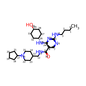 CCCCNc1ncc(C(=O)NCC2CCN(C3CCCC3)CC2)c(N[C@H]2CC[C@H](O)CC2)n1